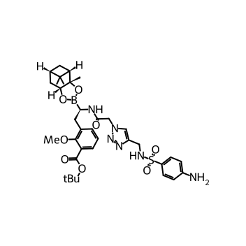 COc1c(C[C@H](NC(=O)Cn2cc(CNS(=O)(=O)c3ccc(N)cc3)nn2)B2O[C@@H]3C[C@@H]4C[C@@H](C4(C)C)[C@]3(C)O2)cccc1C(=O)OC(C)(C)C